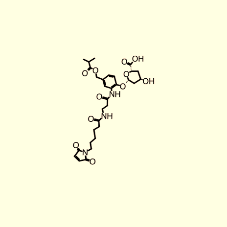 CC(C)C(=O)OCc1ccc(O[C@H]2C[C@@H](O)C[C@@H](C(=O)O)O2)c(NC(=O)CCNC(=O)CCCCCN2C(=O)C=CC2=O)c1